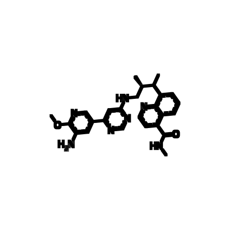 CNC(=O)c1ccnc2c(C(C)[C@H](C)CNc3cc(-c4cnc(OC)c(N)c4)ncn3)cccc12